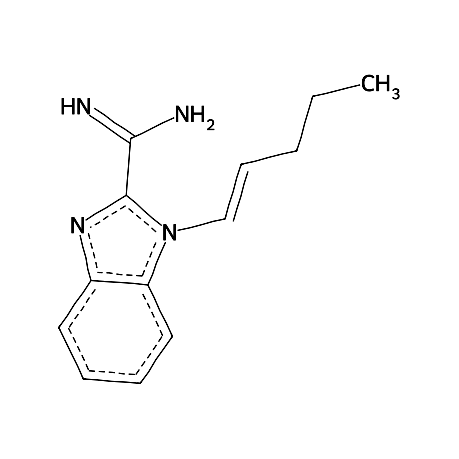 CCC/C=C/n1c(C(=N)N)nc2ccccc21